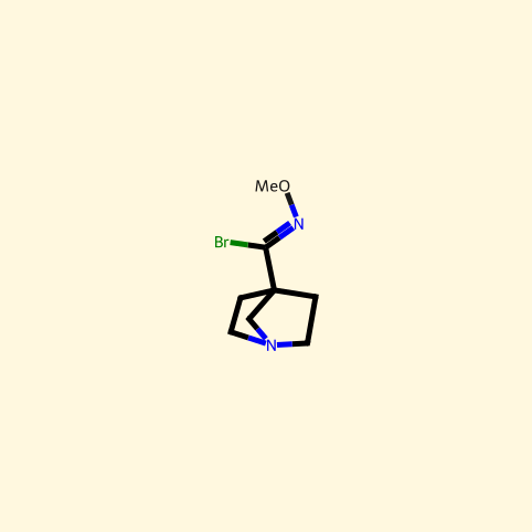 CON=C(Br)C12CCN(CC1)C2